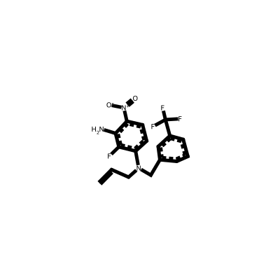 C=CCN(Cc1cccc(C(F)(F)F)c1)c1ccc([N+](=O)[O-])c(N)c1F